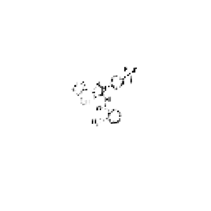 Cc1ccccc1C(=O)Nc1nc(-c2ncccc2C)nn1-c1ccc(C(F)(F)F)cc1